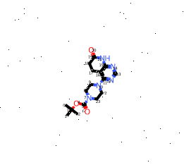 CC(C)(C)OC(=O)N1CCN(c2ncnc3c2CCC(=O)N3)CC1